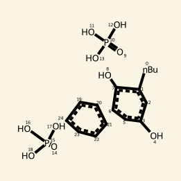 CCCCc1cc(O)ccc1O.O=P(O)(O)O.O=P(O)(O)O.c1ccccc1